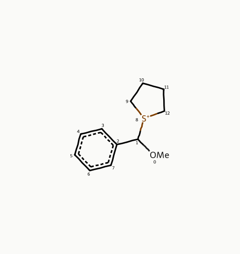 COC(c1ccccc1)[S+]1CCCC1